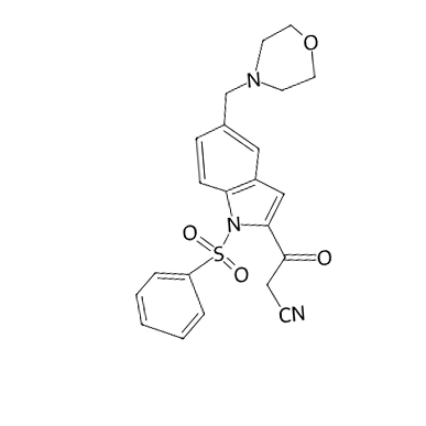 N#CCC(=O)c1cc2cc(CN3CCOCC3)ccc2n1S(=O)(=O)c1ccccc1